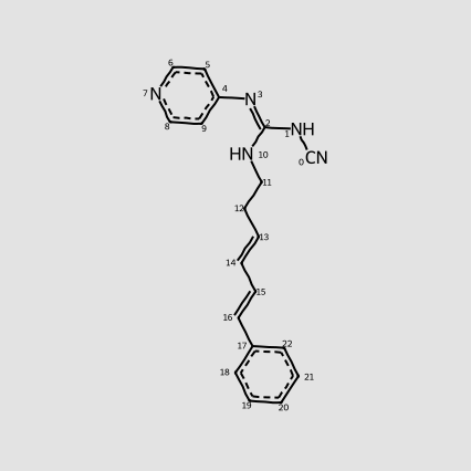 N#CN/C(=N/c1ccncc1)NCC/C=C/C=C/c1ccccc1